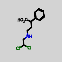 O=C(O)C(CCNCC(Cl)Cl)c1ccccc1